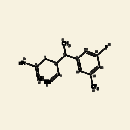 CCCC(=N)CC(C=N)C(C)c1cc(F)cc(C(F)(F)F)c1